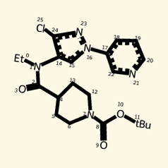 CCN(C(=O)C1CCN(C(=O)OC(C)(C)C)CC1)c1cn(-c2cccnc2)nc1Cl